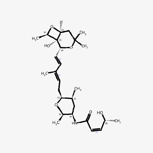 CC(/C=C/[C@H]1OC(C)(C)C[C@@H]2O[C@H](C)[C@@]21O)=C\C[C@@H]1O[C@H](C)[C@H](NC(=O)/C=C\[C@@H](C)O)C[C@@H]1C